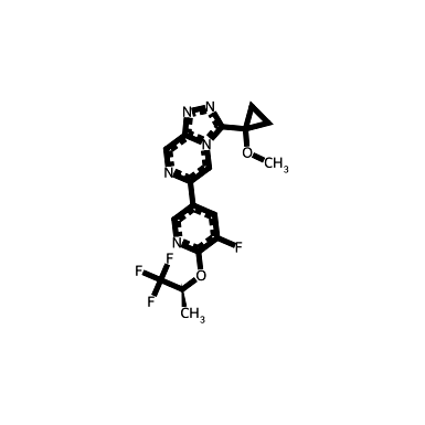 COC1(c2nnc3cnc(-c4cnc(O[C@@H](C)C(F)(F)F)c(F)c4)cn23)CC1